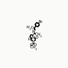 COC(=O)N1CC(=O)N2[C@@H](CC[C@H]2/C(C)=N/C=C(\C)c2ccc(Br)cc2)C1